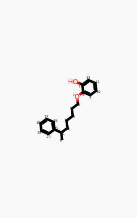 CC(CCCCCOc1ccccc1O)c1ccccc1